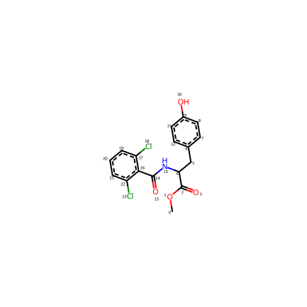 COC(=O)C(Cc1ccc(O)cc1)NC(=O)c1c(Cl)cccc1Cl